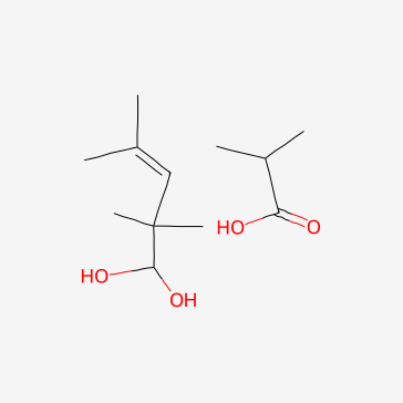 CC(C)=CC(C)(C)C(O)O.CC(C)C(=O)O